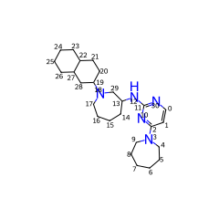 c1cc(N2CCCCCC2)nc(NC2CCCCN(C3CCC4CCCCC4C3)C2)n1